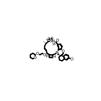 C[C@@H]1[C@@H](C)C/C=C/[C@H](OCCO[C@H]2CCCCO2)[C@@H]2CC[C@H]2CN2C[C@@]3(CCCc4cc(Cl)ccc43)COc3ccc(cc32)C(=O)NS1(=O)=O